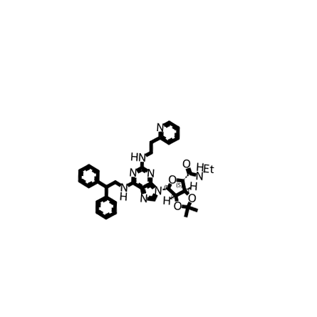 CCNC(=O)[C@H]1O[C@@H](n2cnc3c(NCC(c4ccccc4)c4ccccc4)nc(NCCc4ccccn4)nc32)[C@@H]2OC(C)(C)O[C@@H]21